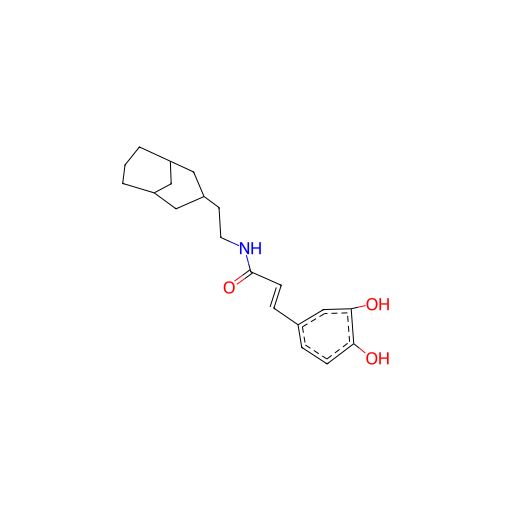 O=C(/C=C/c1ccc(O)c(O)c1)NCCC1CC2CCCC(C2)C1